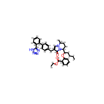 CCCCC(Oc1ccccc1C(=O)OCC)C1CCC(C)n2cc(Cc3ccc(-c4ccccc4-c4nnn[nH]4)cc3)c(=O)n21